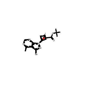 Cc1ncnc2c1c(Br)nn2C12CC(C1)N(C(=O)OC(C)(C)C)C2